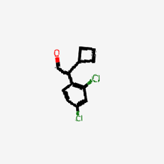 O=[C]C(c1ccc(Cl)cc1Cl)C1CCC1